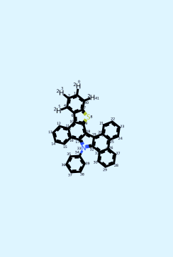 [2H]c1c([2H])c([2H])c2c(sc3c2c2ccccc2c2c3c3c4ccccc4c4ccccc4c3n2-c2ccccc2)c1[2H]